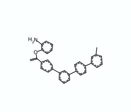 C=C(Oc1ccccc1N)c1ccc(-c2cccc(-c3ccc(-c4cccc(C)c4)cc3)c2)cc1